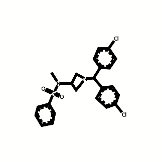 CN(C1CN(C(c2ccc(Cl)cc2)c2ccc(Cl)cc2)C1)S(=O)(=O)c1ccccc1